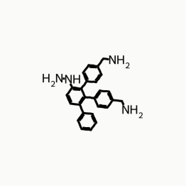 NCc1ccc(-c2c(NN)ccc(-c3ccccc3)c2-c2ccc(CN)cc2)cc1